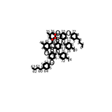 CCCCc1ccc(Oc2cc3c4c(c2)N(c2ccc(I)cc2)c2cc5c(cc2B4c2c(I)cc(C)cc2O3)B2c3c(CCCC)cc(C)cc3Oc3cc(Oc4ccc(CCCC)cc4)cc(c32)N5c2ccc(I)cc2)cc1